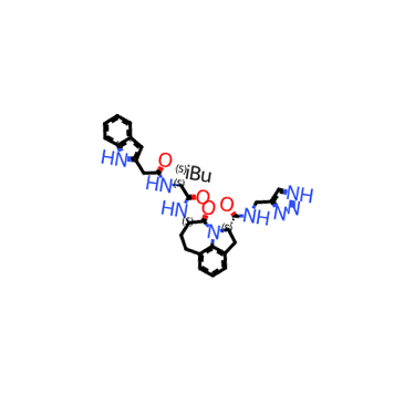 CC[C@H](C)[C@H](NC(=O)Cc1cc2ccccc2[nH]1)C(=O)N[C@H]1CCc2cccc3c2N(C1=O)[C@H](C(=O)NCc1c[nH]nn1)C3